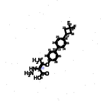 NN/C(C(=O)O)=C(\N)Oc1ccc(-c2ccc(C3CC(F)(F)C3)cc2)cc1